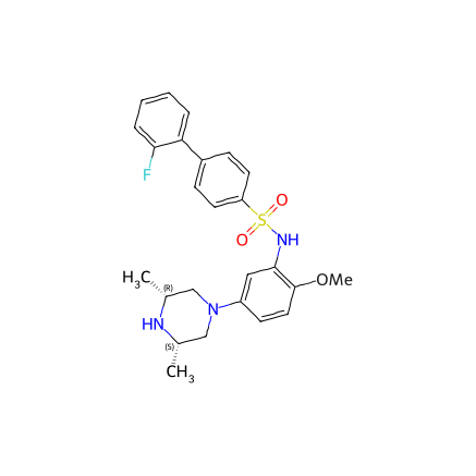 COc1ccc(N2C[C@@H](C)N[C@@H](C)C2)cc1NS(=O)(=O)c1ccc(-c2ccccc2F)cc1